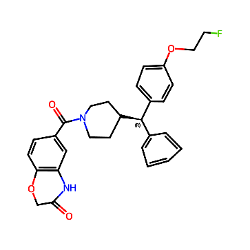 O=C1COc2ccc(C(=O)N3CCC([C@H](c4ccccc4)c4ccc(OCCF)cc4)CC3)cc2N1